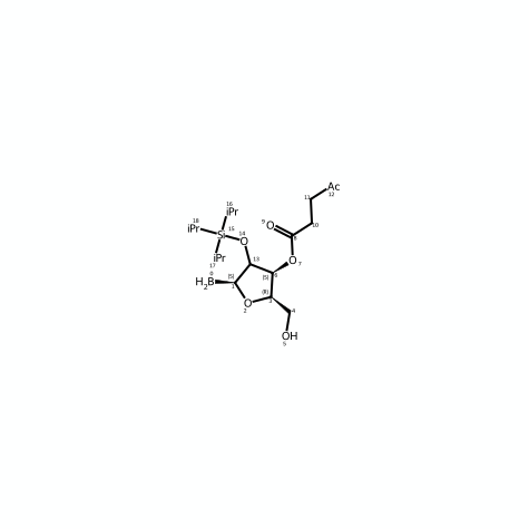 B[C@@H]1O[C@H](CO)[C@H](OC(=O)CCC(C)=O)C1O[Si](C(C)C)(C(C)C)C(C)C